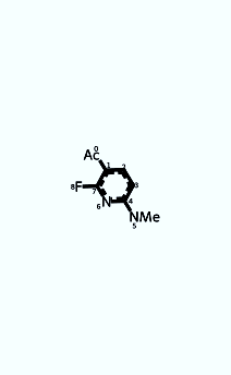 [CH2]C(=O)c1ccc(NC)nc1F